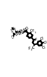 O=C(NNc1ncnc(Cl)n1)c1ccc(C(F)=CC(c2cc(Cl)c(Cl)c(Cl)c2)C(F)(F)F)cc1C(F)(F)F